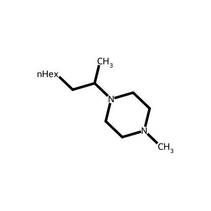 CCCCCCCC(C)N1CCN(C)CC1